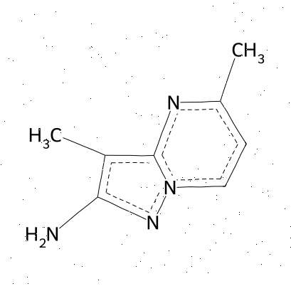 Cc1ccn2nc(N)c(C)c2n1